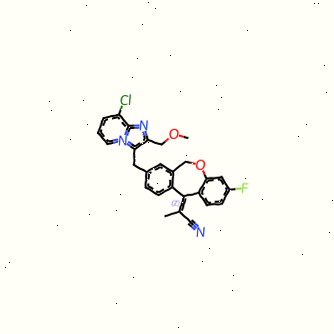 COCc1nc2c(Cl)cccn2c1Cc1ccc2c(c1)COc1cc(F)ccc1/C2=C(/C)C#N